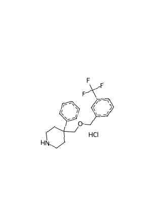 Cl.FC(F)(F)c1cccc(COCC2(c3ccccc3)CCNCC2)c1